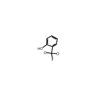 Oc1ccccc1C(F)(Cl)Cl